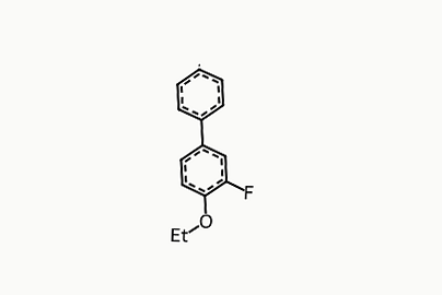 CCOc1ccc(-c2cc[c]cc2)cc1F